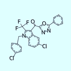 O=C(c1nnc(-c2ccccc2)o1)c1c(C(F)(F)F)n(Cc2ccc(Cl)cc2)c2ccc(Cl)cc12